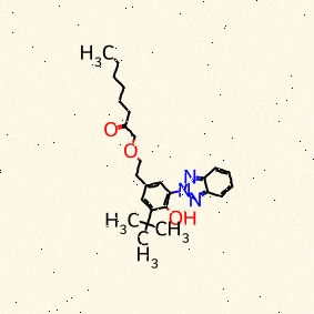 CCCCCCC(=O)COCCc1cc(-n2nc3ccccc3n2)c(O)c(C(C)(C)C)c1